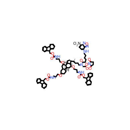 C[C@H](CCCN(CC(=O)ON1C(=O)CCC1=O)C(=O)CCCCCNc1ccc([N+](=O)[O-])c2nonc12)[C@H]1CC[C@H]2C3[C@H](OCCCNC(=O)OCC4c5ccccc5-c5ccccc54)CC4C[C@H](OCCCNC(=O)OCC5c6ccccc6-c6ccccc65)CC[C@]4(C)[C@H]3C[C@H](OCCCNC(=O)OCC3c4ccccc4-c4ccccc43)[C@]12C